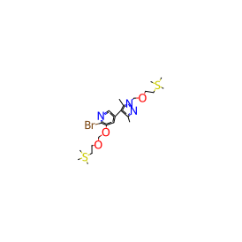 Cc1nn(COCCS(C)(C)C)c(C)c1-c1cnc(Br)c(OCOCCS(C)(C)C)c1